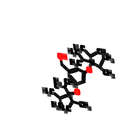 CC(C)[Si](Oc1cc(CO)cc(O[Si](C(C)C)(C(C)C)C(C)C)c1)(C(C)C)C(C)C